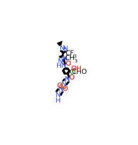 Cn1c(-c2cn(C3CC3)nc2C(F)(F)F)cnc1C(=O)Nc1ccc(C(=O)N2CCN(S(=O)(=O)N3CCNCC3)CC2)c(Cl)c1.O=CO